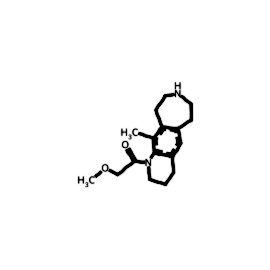 COCC(=O)N1CCCc2cc3c(c(C)c21)CCNCC3